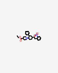 CCOC(=O)C1CCN(C2CCC(CCc3ccccc3[N+](=O)[O-])CC2c2ccccc2)CC1